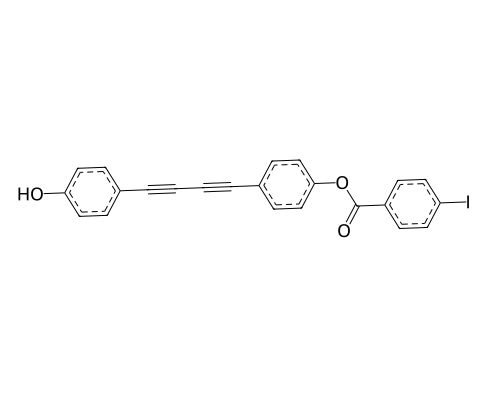 O=C(Oc1ccc(C#CC#Cc2ccc(O)cc2)cc1)c1ccc(I)cc1